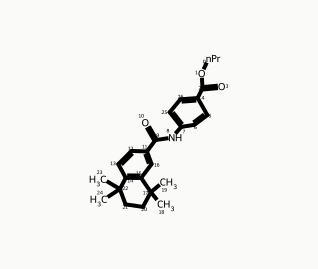 CCCOC(=O)c1ccc(NC(=O)c2ccc3c(c2)C(C)(C)CCC3(C)C)cc1